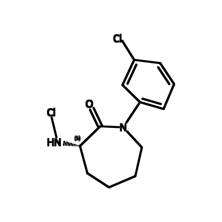 O=C1[C@@H](NCl)CCCCN1c1cccc(Cl)c1